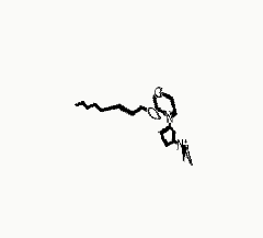 CCCCCCCCOC1COCCN1c1cccc([N+]#N)c1